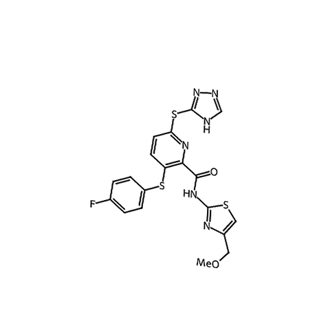 COCc1csc(NC(=O)c2nc(Sc3nnc[nH]3)ccc2Sc2ccc(F)cc2)n1